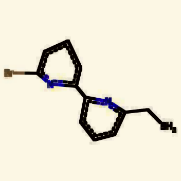 BCc1cccc(-c2cccc(Br)n2)n1